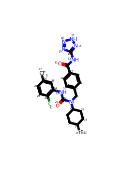 CC(C)(C)C1CCC(N(Cc2ccc(C(=O)Nc3nn[nH]n3)cc2)C(=O)Nc2cc(C(F)(F)F)ccc2Cl)CC1